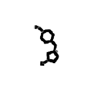 CCN1CC[C@H](CN2CCN(C(C)(C)C)CC2)C1